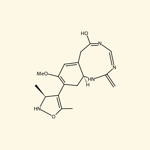 C=C1/N=C\N=C(\O)CC2=CC(OC)=C(C3=C(C)ON[C@H]3C)C[C@@H]2N1